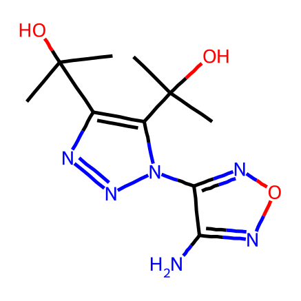 CC(C)(O)c1nnn(-c2nonc2N)c1C(C)(C)O